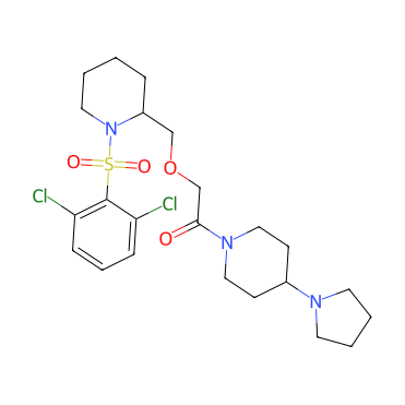 O=C(COCC1CCCCN1S(=O)(=O)c1c(Cl)cccc1Cl)N1CCC(N2CCCC2)CC1